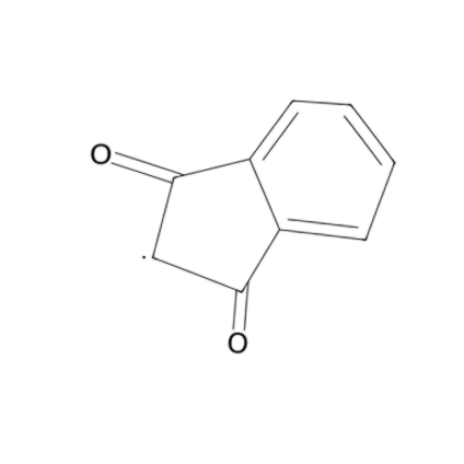 O=C1[CH]C(=O)c2ccccc21